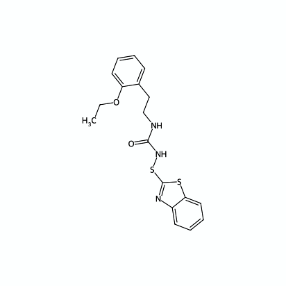 CCOc1ccccc1CCNC(=O)NSc1nc2ccccc2s1